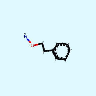 [N]OCCc1ccccc1